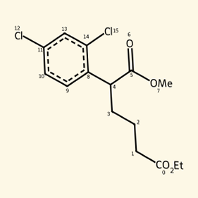 CCOC(=O)CCCC(C(=O)OC)c1ccc(Cl)cc1Cl